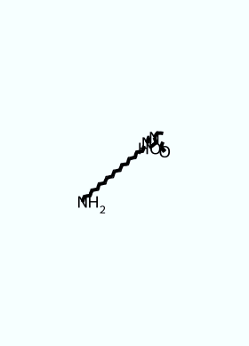 CC(=O)O.CCCCCCCCCCCCCCCCCN.CCN1C=NCC1